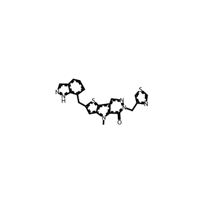 Cn1c2cc(Cc3cccc4cn[nH]c34)sc2c2cnn(Cc3cscn3)c(=O)c21